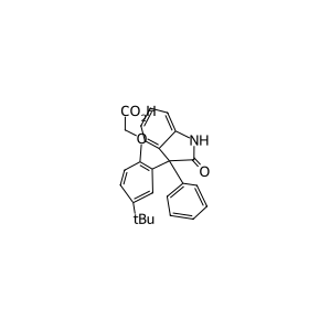 CC(C)(C)c1ccc(OCC(=O)O)c(C2(c3ccccc3)C(=O)Nc3ccccc32)c1